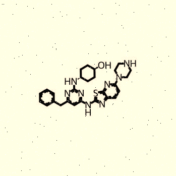 O[C@H]1CC[C@H](Nc2nc(Cc3ccccc3)cc(Nc3nc4ccc(N5CCNCC5)nc4s3)n2)CC1